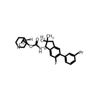 CC(C)c1cccc(-c2cc3c(cc2F)[C@H](NC(=O)O[C@@H]2CN4CCC2CC4)C(C)(C)C3)c1